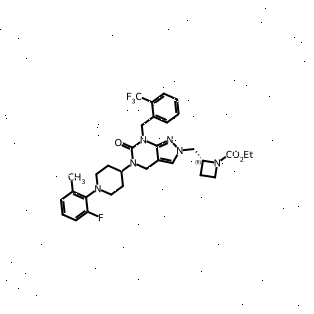 CCOC(=O)N1CC[C@@H]1Cn1cc2c(n1)N(Cc1ccccc1C(F)(F)F)C(=O)N(C1CCN(c3c(C)cccc3F)CC1)C2